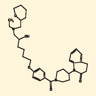 CCN(CC(O)CCCCOc1ccc(C(=O)N2CCC(N3C(=O)CCc4ccccc43)CC2)cc1)CC1CCCCO1